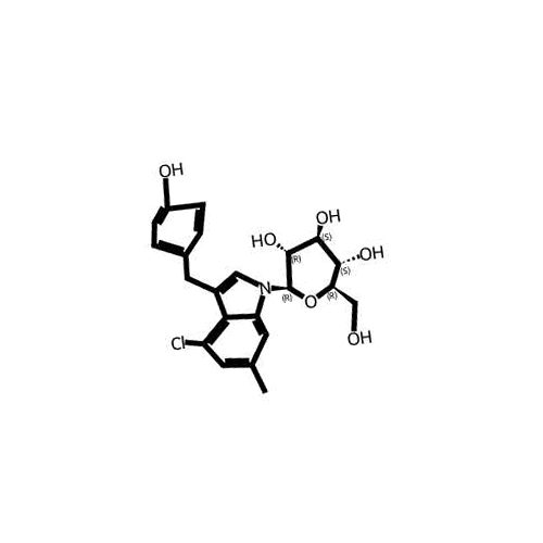 Cc1cc(Cl)c2c(Cc3ccc(O)cc3)cn([C@@H]3O[C@H](CO)[C@@H](O)[C@H](O)[C@H]3O)c2c1